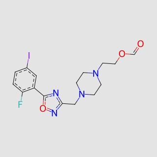 O=COCCN1CCN(Cc2noc(-c3cc(I)ccc3F)n2)CC1